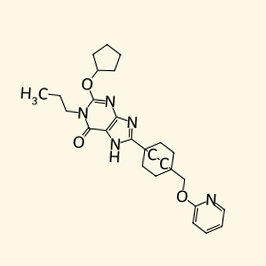 CCCn1c(OC2CCCC2)nc2nc(C34CCC(COc5ccccn5)(CC3)CC4)[nH]c2c1=O